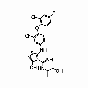 CC(CO)NC(=N)c1c(O)nsc1Nc1ccc(Oc2ccc(F)cc2Cl)c(Cl)c1